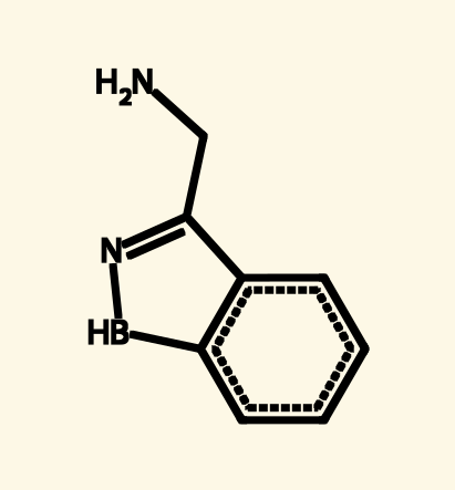 NCC1=NBc2ccccc21